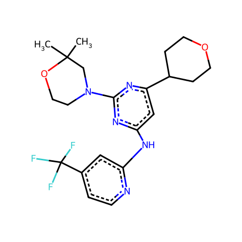 CC1(C)CN(c2nc(Nc3cc(C(F)(F)F)ccn3)cc(C3CCOCC3)n2)CCO1